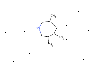 CC1CNCC(C)C(C)C1